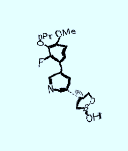 CCCOc1c(OC)ccc(-c2cncc([C@@H]3COB(O)C3)c2)c1F